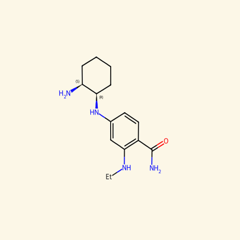 CCNc1cc(N[C@@H]2CCCC[C@@H]2N)ccc1C(N)=O